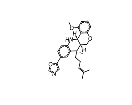 COc1cccc2c1[C@H]1Nc3ccc(-c4cnco4)cc3[C@](C)(CCC=C(C)C)[C@H]1CO2